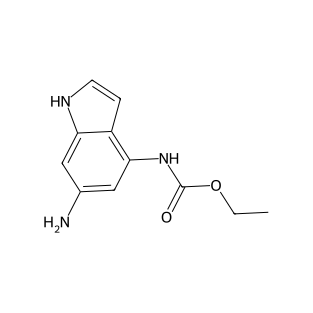 CCOC(=O)Nc1cc(N)cc2[nH]ccc12